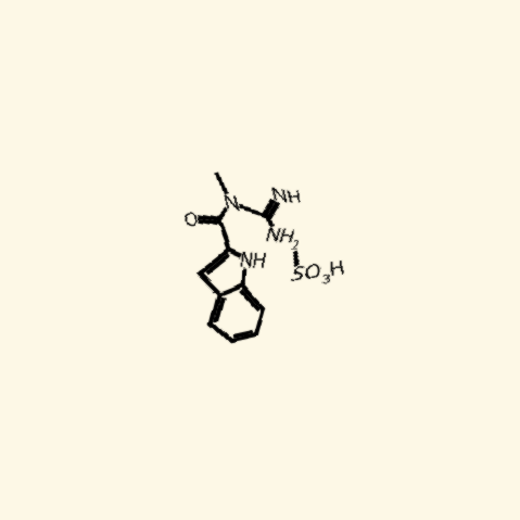 CN(C(=N)N)C(=O)c1cc2ccccc2[nH]1.CS(=O)(=O)O